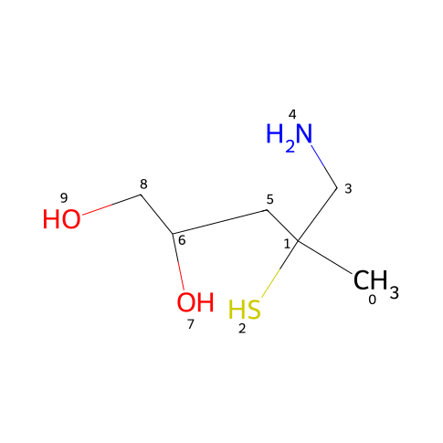 CC(S)(CN)CC(O)CO